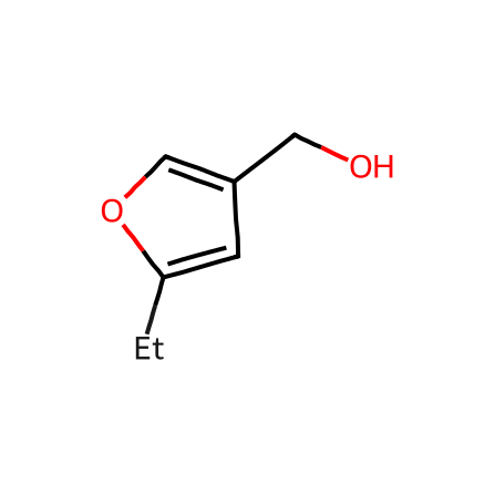 CCc1cc(CO)co1